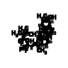 CC(C)[C@H](C)C(=O)O[C@H](CC[C@@H](C)[C@H]1CC[C@H]2[C@@H]3CC=C4C[C@@](C)(O)CC[C@]4(C)[C@H]3CC[C@]12C)C(F)(F)F